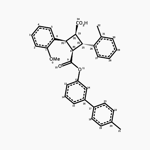 COc1ccccc1[C@@H]1[C@H](C(=O)Oc2cccc(-c3ccc(C)cc3)c2)[C@@H](c2ccccc2C)[C@@H]1C(=O)O